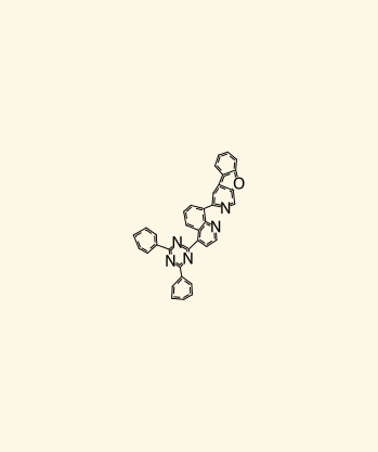 c1ccc(-c2nc(-c3ccccc3)nc(-c3ccnc4c(-c5cc6c(cn5)oc5ccccc56)cccc34)n2)cc1